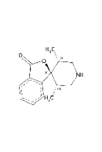 C[C@@H]1CNC[C@H](C)[C@@]12OC(=O)c1ccccc12